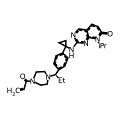 C=CC(=O)N1CCN([C@H](CC)c2ccc(C3(Nc4ncc5ccc(=O)n(C(C)C)c5n4)CC3)cc2)CC1